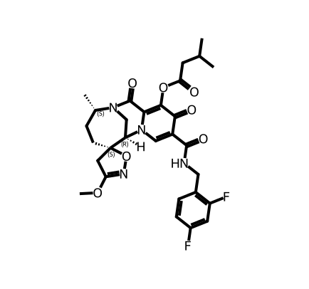 COC1=NO[C@@]2(CC[C@H](C)N3C[C@H]2n2cc(C(=O)NCc4ccc(F)cc4F)c(=O)c(OC(=O)CC(C)C)c2C3=O)C1